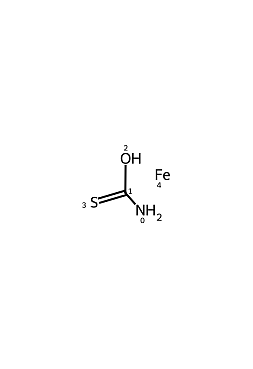 NC(O)=S.[Fe]